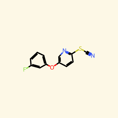 N#CSc1ccc(Oc2cccc(F)c2)cn1